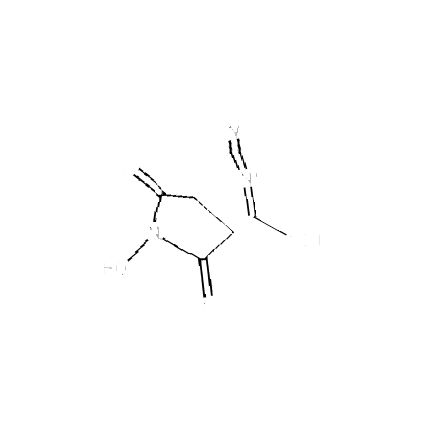 O=C1CCC(=O)N1O.[N-]=[N+]=CC(=O)O